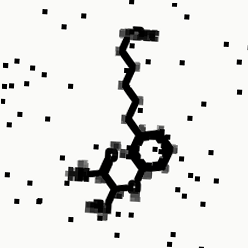 CCCCCCCCCCCCCCCc1cccc(OC(CCCC)C([NH])=O)c1